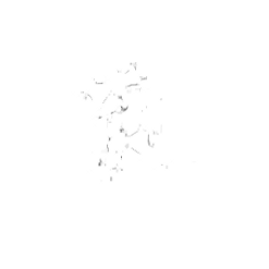 CCOC(=O)C(Cl)Cc1cc(-n2nc(C)n(C(F)F)c2=O)c(F)cc1Cl.CS(=O)(=O)c1cc(C(F)(F)F)ccc1C(=O)c1cnoc1C1CC1